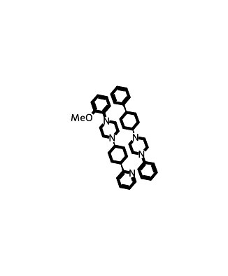 COc1ccccc1N1CCN([C@H]2CC[C@H](c3ccccn3)CC2)CC1.c1ccc(N2CCN([C@H]3CC[C@H](c4ccccc4)CC3)CC2)cc1